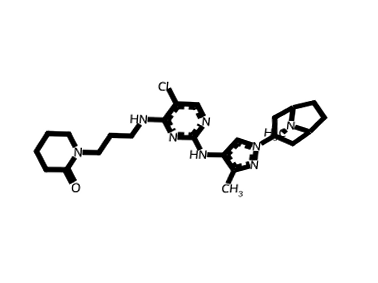 Cc1nn(C2CC3CCC(C2)N3C)cc1Nc1ncc(Cl)c(NCCCN2CCCCC2=O)n1